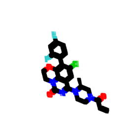 C=CC(=O)N1CCN(c2nc(=O)n3c4c(c(-c5ccc(F)cc5F)c(Cl)cc24)OCC3)[C@@H](C)C1